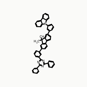 CC1(C)c2cc(-c3cccc(-c4nc(-c5ccccc5)nc(-c5ccccc5)n4)c3)ccc2-c2ccc(-c3cccc(-n4c5ccccc5c5ccccc54)c3)cc21